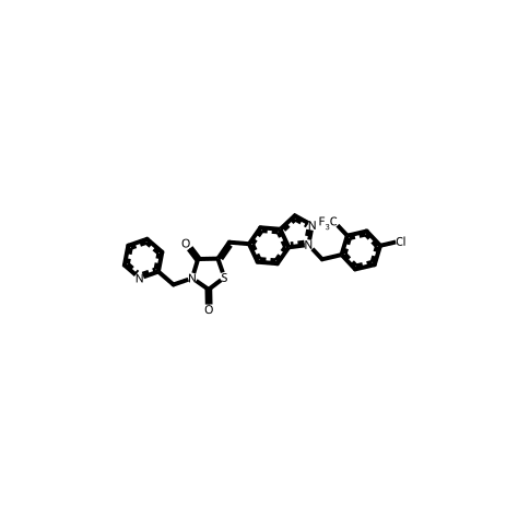 O=C1S/C(=C\c2ccc3c(cnn3Cc3ccc(Cl)cc3C(F)(F)F)c2)C(=O)N1Cc1ccccn1